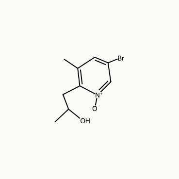 Cc1cc(Br)c[n+]([O-])c1CC(C)O